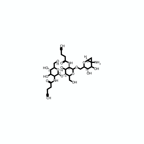 C#CCCC(=O)NC1C(O)[C@H](O)C(CO)O[C@H]1O[C@H]1C(CO)OC(OCC2O[C@H]3CC3(N)C(O)[C@@H]2O)[C@H](NC(=O)CCC#C)C1O